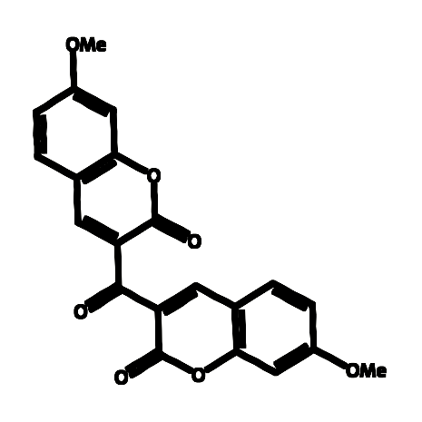 COc1ccc2cc(C(=O)c3cc4ccc(OC)cc4oc3=O)c(=O)oc2c1